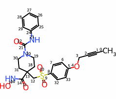 CC#CCOc1ccc(S(=O)(=O)CC2(C(=O)NO)CCN(C(=O)Nc3ccccc3)CC2)cc1